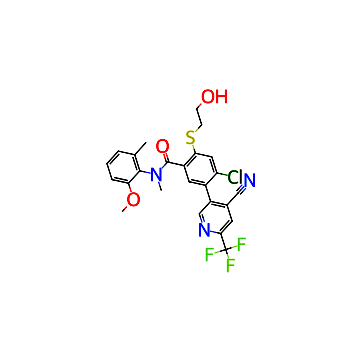 COc1cccc(C)c1N(C)C(=O)c1cc(-c2cnc(C(F)(F)F)cc2C#N)c(Cl)cc1SCCO